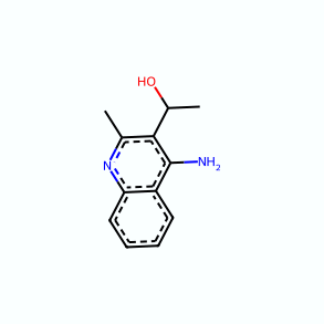 Cc1nc2ccccc2c(N)c1C(C)O